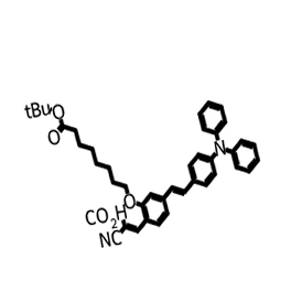 CC(C)(C)OC(=O)CCCCCCCOc1cc(/C=C/c2ccc(N(c3ccccc3)c3ccccc3)cc2)ccc1/C=C(/C#N)C(=O)O